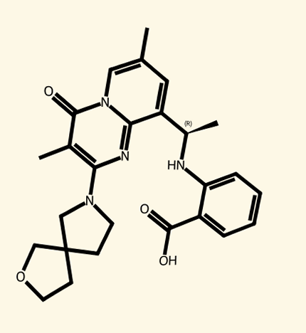 Cc1cc([C@@H](C)Nc2ccccc2C(=O)O)c2nc(N3CCC4(CCOC4)C3)c(C)c(=O)n2c1